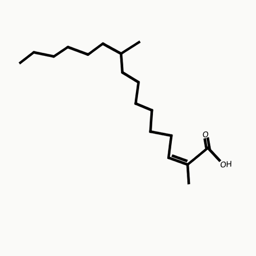 CCCCCCC(C)CCCCCCC=C(C)C(=O)O